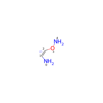 N/C=C\ON